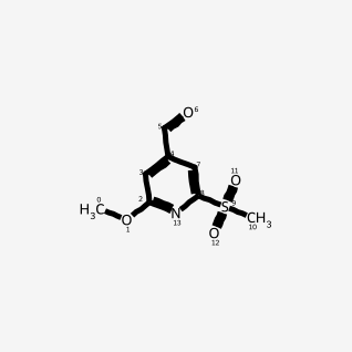 COc1cc(C=O)cc(S(C)(=O)=O)n1